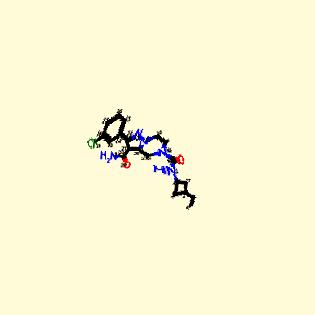 CCC1CC(NC(=O)N2CCn3nc(-c4cccc(Cl)c4)c(C(N)=O)c3C2)C1